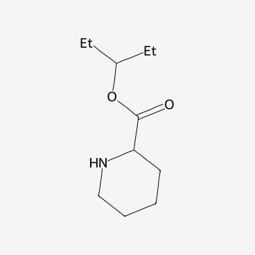 CCC(CC)OC(=O)C1CCCCN1